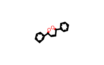 O=C(/C=C\C(=O)c1ccccc1)c1ccccc1